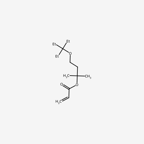 C=CC(=O)OC(C)(C)CCOC(CC)(CC)CC